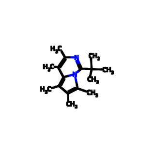 Cc1nc(C(C)(C)C)n2c(C)c(C)c(C)c2c1C